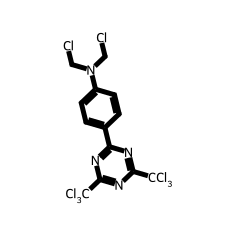 ClCN(CCl)c1ccc(-c2nc(C(Cl)(Cl)Cl)nc(C(Cl)(Cl)Cl)n2)cc1